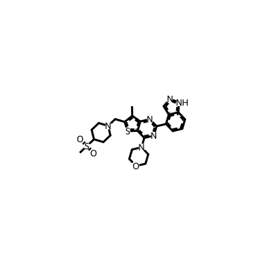 Cc1c(CN2CCC(S(C)(=O)=O)CC2)sc2c(N3CCOCC3)nc(-c3cccc4[nH]ncc34)nc12